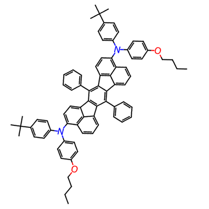 CCCCOc1ccc(N(c2ccc(C(C)(C)C)cc2)c2ccc3c4c(-c5ccccc5)c5c6ccc(N(c7ccc(OCCCC)cc7)c7ccc(C(C)(C)C)cc7)c7cccc(c5c(-c5ccccc5)c4c4cccc2c43)c76)cc1